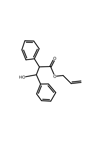 C=CCOC(=O)C(c1ccccc1)C(O)c1ccccc1